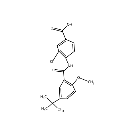 COc1ccc(C(C)(C)C)cc1C(=O)Nc1ccc(C(=O)O)cc1Cl